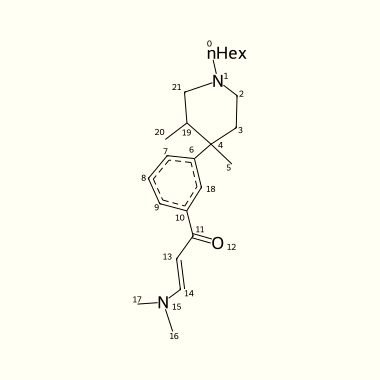 CCCCCCN1CCC(C)(c2cccc(C(=O)C=CN(C)C)c2)C(C)C1